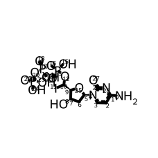 Nc1ccn([C@H]2C[C@H](O)[C@@H](C(I)OP(=O)(O)OP(=O)(O)OP(=O)(O)O)O2)c(=O)n1